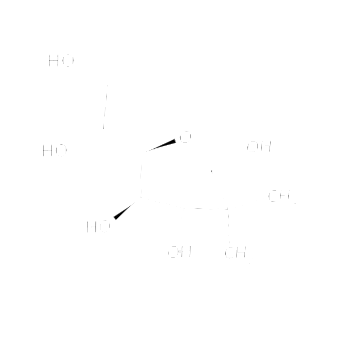 CC1(C)C2(O)O[C@H]([C@H](O)CO)[C@H](O)[C@]12O